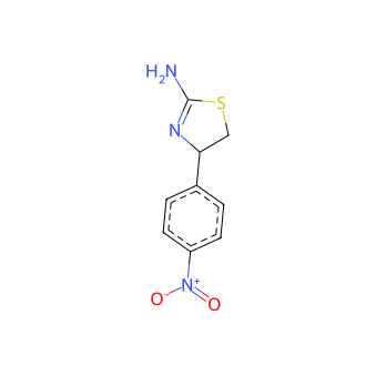 NC1=NC(c2ccc([N+](=O)[O-])cc2)CS1